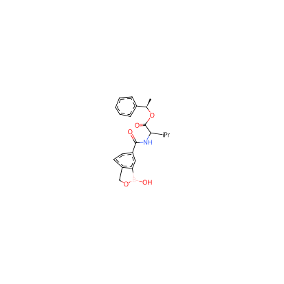 CC(C)C(NC(=O)c1ccc2c(c1)B(O)OC2)C(=O)O[C@H](C)c1ccccc1